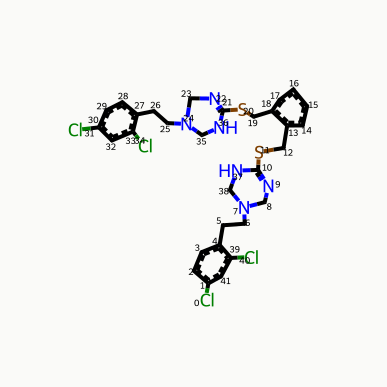 Clc1ccc(CCN2CN=C(SCc3ccccc3CSC3=NCN(CCc4ccc(Cl)cc4Cl)CN3)NC2)c(Cl)c1